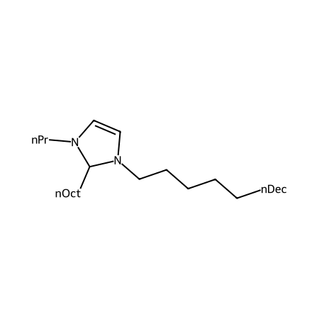 CCCCCCCCCCCCCCCN1C=CN(CCC)C1CCCCCCCC